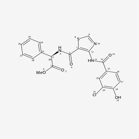 COC(=O)[C@H](NC(=O)c1scnc1NC(=O)c1ccc(O)c(Cl)c1)c1ccccc1